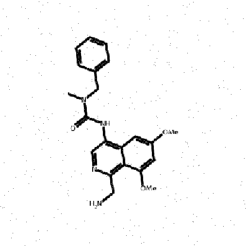 COc1cc(OC)c2c(CN)ncc(NC(=O)N(C)Cc3ccccc3)c2c1